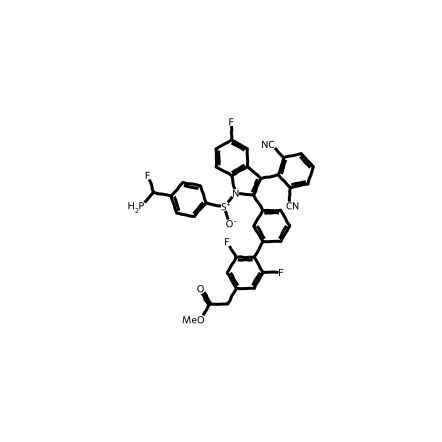 COC(=O)Cc1cc(F)c(-c2cccc(-c3c(-c4c(C#N)cccc4C#N)c4cc(F)ccc4n3[S+]([O-])c3ccc(C(F)P)cc3)c2)c(F)c1